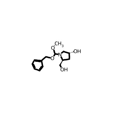 COC(OCc1ccccc1)N1C[C@H](O)C[C@H]1CO